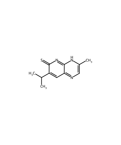 Cc1cnc2cc(C(C)C)c(=S)nc-2[nH]1